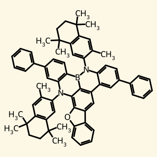 Cc1cc2c(cc1N1B3c4ccc(-c5ccccc5)cc4N(c4cc5c(cc4C)C(C)(C)CCC5(C)C)c4c3c(cc3c4oc4ccccc43)-c3cc(-c4ccccc4)ccc31)C(C)(C)CCC2(C)C